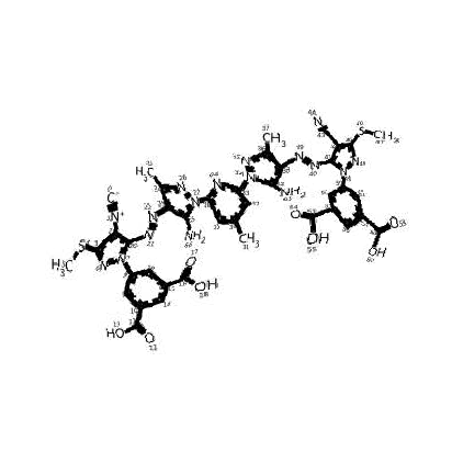 [C-]#[N+]c1c(SC)nn(-c2cc(C(=O)O)cc(C(=O)O)c2)c1N=Nc1c(C)nn(-c2cc(C)cc(-n3nc(C)c(N=Nc4c(C#N)c(SC)nn4-c4cc(C(=O)O)cc(C(=O)O)c4)c3N)n2)c1N